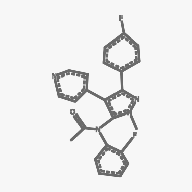 CC(=O)N(c1ccccc1F)c1c(-c2ccncc2)c(-c2ccc(F)cc2)nn1C